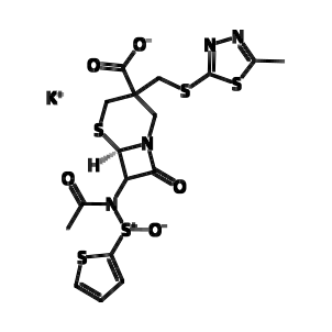 CC(=O)N(C1C(=O)N2CC(CSc3nnc(C)s3)(C(=O)[O-])CS[C@H]12)[S+]([O-])c1cccs1.[K+]